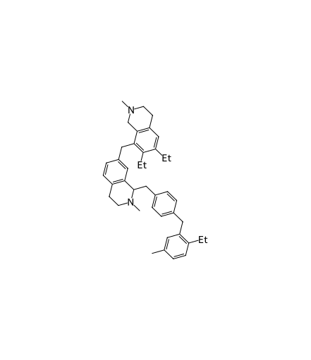 CCc1ccc(C)cc1Cc1ccc(CC2c3cc(Cc4c(CC)c(CC)cc5c4CN(C)CC5)ccc3CCN2C)cc1